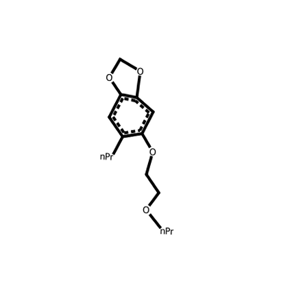 CCCOCCOc1cc2c(cc1CCC)OCO2